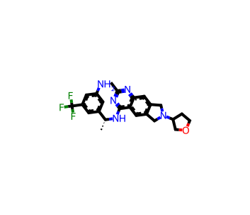 Cc1nc(N[C@H](C)c2cc(N)cc(C(F)(F)F)c2)c2cc3c(cc2n1)CN(C1CCOC1)C3